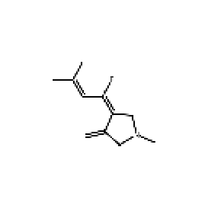 C=C1CN(C)C/C1=C(\F)C=C(C)C